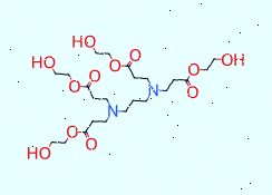 O=C(CCN(CCCN(CCC(=O)OCCO)CCC(=O)OCCO)CCC(=O)OCCO)OCCO